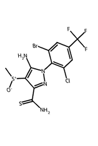 C[S+]([O-])c1c(C(N)=S)nn(-c2c(Cl)cc(C(F)(F)F)cc2Br)c1N